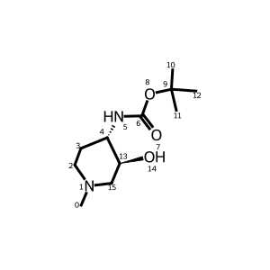 CN1CC[C@H](NC(=O)OC(C)(C)C)[C@@H](O)C1